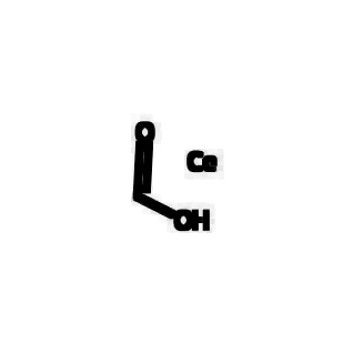 O=CO.[Ce]